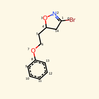 BrC1=NOC(CCOc2ccccc2)C1